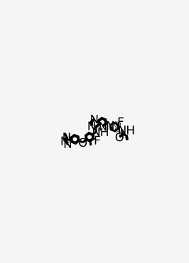 C=CC(=O)N[C@H]1CCN(c2ccc3ncnc(Nc4ccc(Oc5ccc6c(c5)nnn6C)c(C)c4F)c3n2)C[C@H]1F